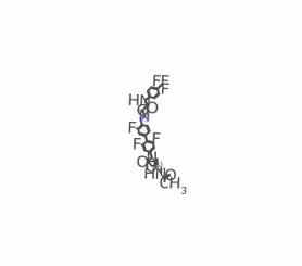 CC(=O)NC[C@H]1CN(c2cc(F)c(-c3ccc(/C=N/OC(=O)Nc4ccc(C(F)(F)F)cc4)c(F)c3)c(F)c2)C(=O)O1